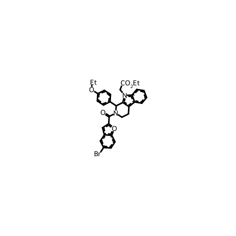 CCOC(=O)Cn1c2c(c3ccccc31)CCN(C(=O)c1cc3cc(Br)ccc3o1)C2c1ccc(OCC)cc1